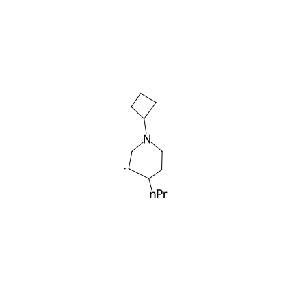 CCCC1[CH]CN(C2CCC2)CC1